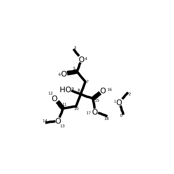 COC.COC(=O)CC(O)(CC(=O)OC)C(=O)OC